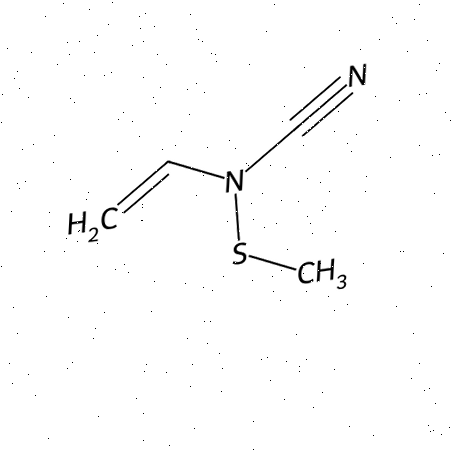 C=CN(C#N)SC